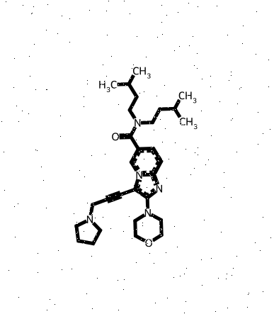 CC(C)CCN(CCC(C)C)C(=O)c1ccc2nc(N3CCOCC3)c(C#CCN3CCCC3)n2c1